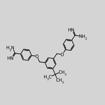 CC(C)(C)c1cc(COc2ccc(C(=N)N)cc2)cc(COc2ccc(C(=N)N)cc2)c1